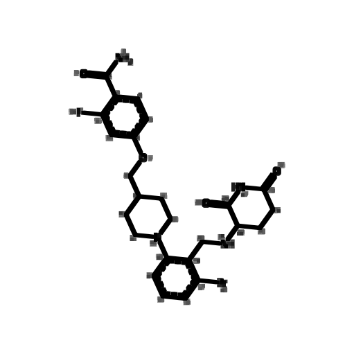 NC(=O)c1ccc(OCC2CCN(c3cccc(Br)c3CNC3CCC(=O)NC3=O)CC2)cc1F